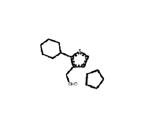 C1CCCC1.O=CCc1ccsc1C1CCCCC1